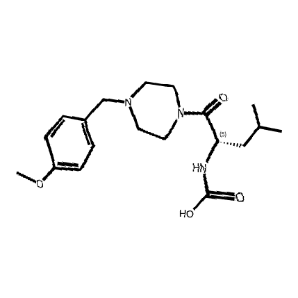 COc1ccc(CN2CCN(C(=O)[C@H](CC(C)C)NC(=O)O)CC2)cc1